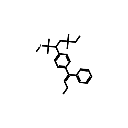 CC/C=C(\c1ccccc1)c1ccc(C(CC(C)(C)CC)C(C)(C)SC)cc1